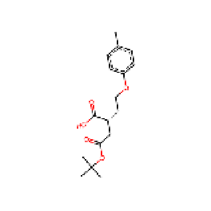 Cc1ccc(OCC[C@H](CC(=O)OC(C)(C)C)C(=O)O)cc1